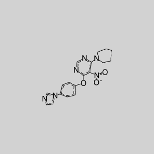 O=[N+]([O-])c1c(Oc2ccc(-n3ccnc3)cc2)ncnc1N1CCCCC1